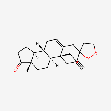 C#CC[C@]12CCC3(CCOO3)CC1=CC[C@@H]1[C@@H]2CC[C@]2(C)C(=O)CC[C@@H]12